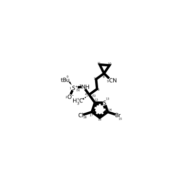 CC(C)(C)[S@@+]([O-])N[C@@](C)(CCC1(C#N)CC1)c1sc(Br)cc1Cl